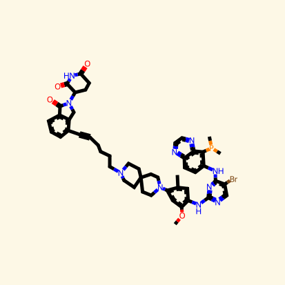 COc1cc(N2CCC3(CCN(CCCCC#Cc4cccc5c4CN(C4CCC(=O)NC4=O)C5=O)CC3)CC2)c(C)cc1Nc1ncc(Br)c(Nc2ccc3nccnc3c2P(C)C)n1